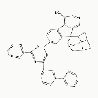 N#Cc1cncc2c1-c1ccc(-c3nc(-c4ccccc4)nc(-c4cccc(-c5ccccc5)c4)n3)cc1C21C2CC3CC4CC1C34C2